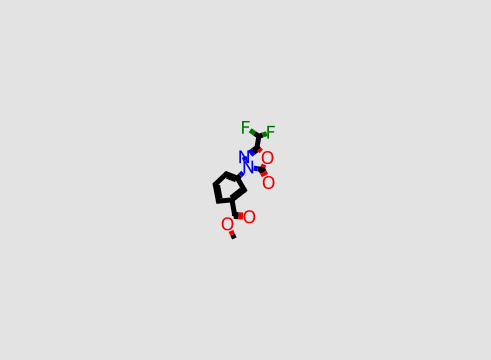 COC(=O)c1cccc(-n2nc(C(F)F)oc2=O)c1